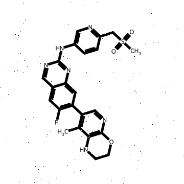 Cc1c(-c2cc3nc(Nc4ccc(CS(C)(=O)=O)nc4)ncc3cc2F)cnc2c1NCCO2